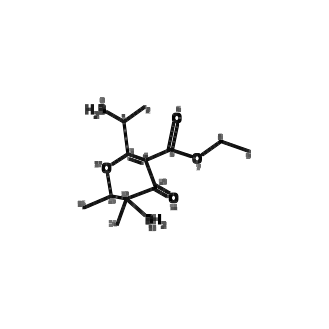 BC(C)C1=C(C(=O)OCC)C(=O)C(B)(C)C(C)O1